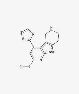 CCSc1cc(-c2cscn2)c2c3c([nH]c2n1)CCNC3